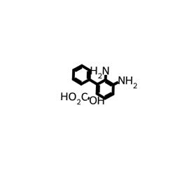 Nc1cccc(-c2ccccc2)c1N.O=C(O)O